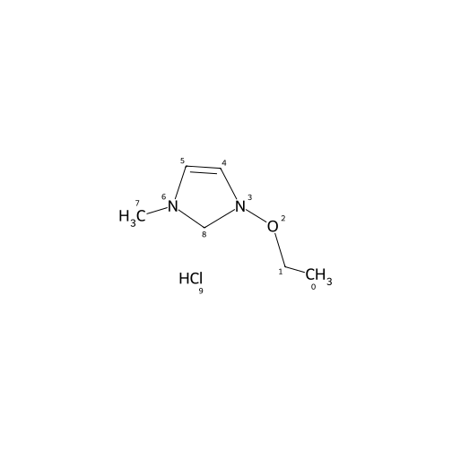 CCON1C=CN(C)C1.Cl